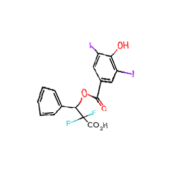 O=C(OC(c1ccccc1)C(F)(F)C(=O)O)c1cc(I)c(O)c(I)c1